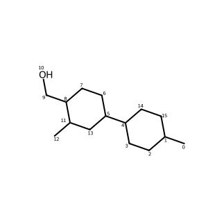 CC1CCC(C2CCC(CO)C(C)C2)CC1